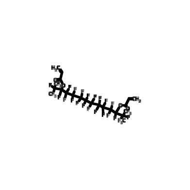 C=CC(=O)OC(F)(C(F)(F)C(F)(F)C(F)(F)C(F)(F)C(F)(F)C(F)(F)C(F)(F)C(F)(F)C(F)(OC(=O)C=C)C(F)(C(F)(F)F)C(F)(F)F)C(F)(C(F)(F)F)C(F)(F)F